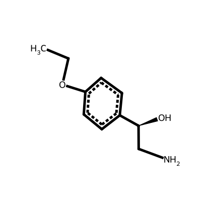 CCOc1ccc([C@@H](O)CN)cc1